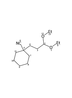 CCOC(CCC1(C#N)CCCCC1)OCC